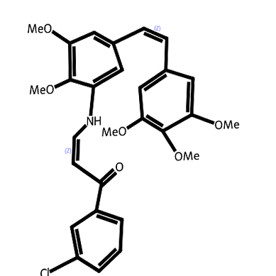 COc1cc(/C=C\c2cc(OC)c(OC)c(OC)c2)cc(N/C=C\C(=O)c2cccc(Cl)c2)c1OC